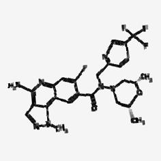 C[C@@H]1CN(N(Cc2ccc(C(F)(F)F)cn2)C(=O)c2cc3c(cc2F)nc(N)c2cnn(C)c23)C[C@H](C)O1